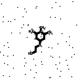 [CH2]N1C(C)CC(OCCO)CC1C